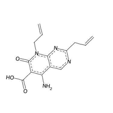 C=CCc1ncc2c(N)c(C(=O)O)c(=O)n(CC=C)c2n1